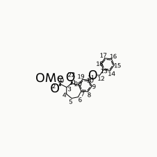 COC(=O)C1CCCc2ccc(OCc3ccccc3)cc2C1=O